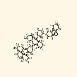 c1cc(-c2ccc3oc4ccccc4c3c2)cc(-c2c3ccccc3c(-c3ccc(-c4cccc5ccc6ccccc6c45)cc3)c3ccccc23)c1